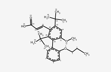 CCCOc1ccccc1-c1c(OC)cc(C(C)(C)C)c(C=CC(=O)O)c1C(C)(C)C